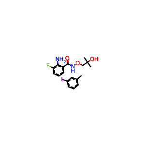 CC(C)(O)CONC(=O)c1cccc(F)c1N.Cc1cccc(I)c1